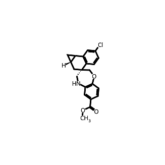 COC(=O)c1ccc2c(c1)NC[C@]1(CO2)C[C@@H]2CC2c2cc(Cl)ccc21